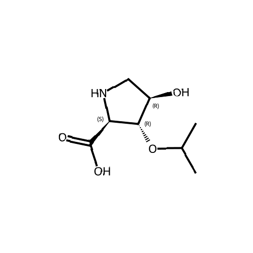 CC(C)O[C@H]1[C@H](O)CN[C@@H]1C(=O)O